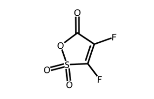 O=C1OS(=O)(=O)C(F)=C1F